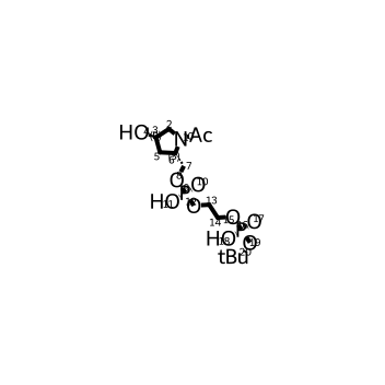 CC(=O)N1C[C@H](O)C[C@H]1COP(=O)(O)OCCOP(=O)(O)OC(C)(C)C